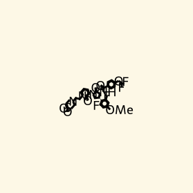 COc1cc(F)c([C@@H]2CN(c3cccn(CCN4CCS(=O)(=O)CC4)c3=O)C(=O)[C@H]2NC(=O)c2ccc(OC(F)F)cc2)c(F)c1